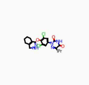 CC(C)c1nn(-c2cc(Cl)c(OC3=NNCC4=C3CCCC4)c(Cl)c2)c(=O)[nH]c1=O